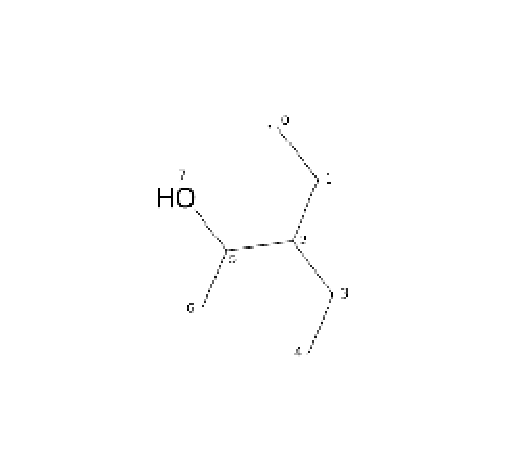 [CH2]CC(CC)C(C)O